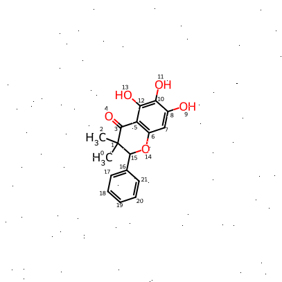 CC1(C)C(=O)c2c(cc(O)c(O)c2O)OC1c1ccccc1